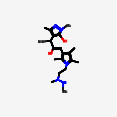 CCCCNN(C)CCn1c(C)c(C)c(/C=C(\O)C(C=O)c2c(C)nn(C(C)(C)C)c2O)c1C